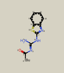 CC(C)(C)C(=O)/N=C(\N)Nc1nc2ccccc2s1